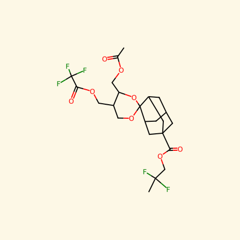 CC(=O)OCC1OC2(OCC1COC(=O)C(F)(F)F)C1CC3CC2CC(C(=O)OCC(C)(F)F)(C3)C1